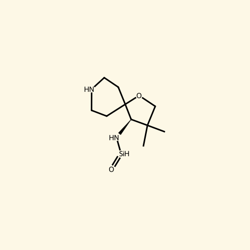 CC1(C)COC2(CCNCC2)[C@@H]1N[SiH]=O